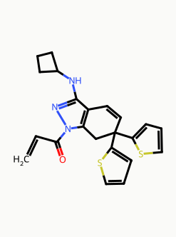 C=CC(=O)n1nc(NC2CCC2)c2c1CC(c1cccs1)(c1cccs1)C=C2